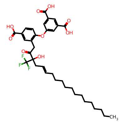 CCCCCCCCCCCCC/C=C/CC(O)(C(=O)Cc1cc(C(=O)O)ccc1Oc1cc(C(=O)O)cc(C(=O)O)c1)C(F)(F)F